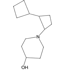 OC1CCN(C2CCC2C2CCC2)CC1